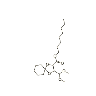 CCCCCCCCOC(=O)C1OC2(CCCCC2)OC1C(OC)OC